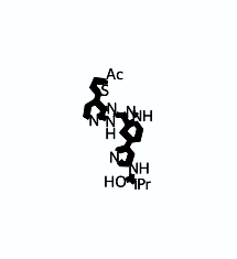 CC(=O)c1ccc(-c2ccnc3[nH]c(-c4n[nH]c5ccc(-c6cncc(NC(O)C(C)C)c6)cc45)nc23)s1